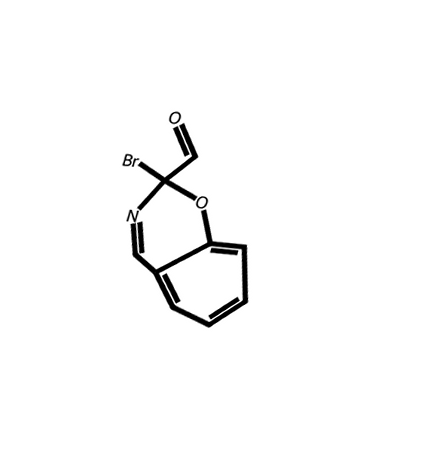 O=CC1(Br)N=Cc2ccccc2O1